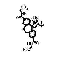 CCNC(=O)c1ccc2c(c1)CCc1cc(C(=O)NCC)ccc1C2(C[C@H](N)I)c1nnn[nH]1